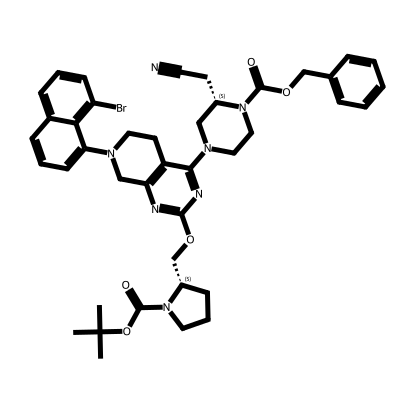 CC(C)(C)OC(=O)N1CCC[C@H]1COc1nc2c(c(N3CCN(C(=O)OCc4ccccc4)[C@@H](CC#N)C3)n1)CCN(c1cccc3cccc(Br)c13)C2